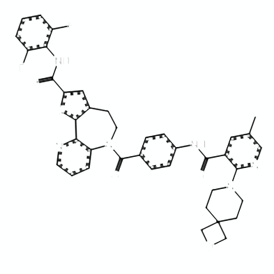 Cc1cnc(N2CCC3(CC2)COC3)c(C(=O)Nc2ccc(C(=O)N3CCc4cc(C(=O)Nc5c(F)cccc5F)sc4-c4ncccc43)cc2)c1